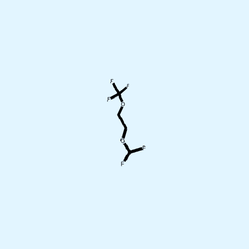 FC(F)OCCOC(F)(F)F